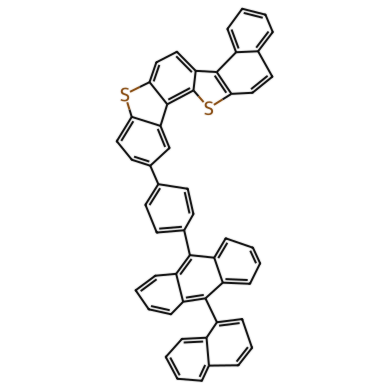 c1ccc2c(-c3c4ccccc4c(-c4ccc(-c5ccc6sc7ccc8c(sc9ccc%10ccccc%10c98)c7c6c5)cc4)c4ccccc34)cccc2c1